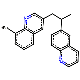 CC(Cc1cnc2c(C(C)(C)C)cccc2c1)c1ccc2ncccc2c1